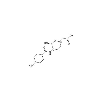 NC1CCC(C(=O)N[C@H]2CC[C@@H](CC(=O)O)OB2O)CC1